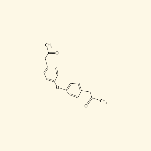 CC(=O)Cc1ccc(Oc2ccc(CC(C)=O)cc2)cc1